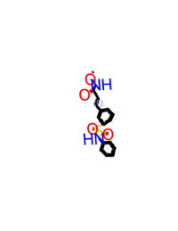 CONC(=O)/C=C/c1cccc(S(=O)(=O)Nc2ccccc2)c1